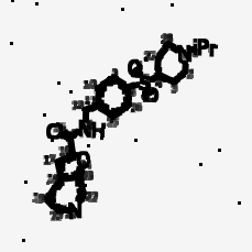 CC(C)N1CCC(S(=O)(=O)c2ccc(CNC(=O)c3cc4ccncc4o3)cc2)CC1